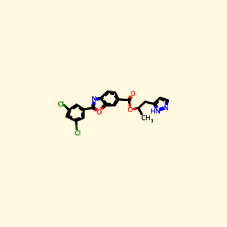 CC(Cc1ccn[nH]1)OC(=O)c1ccc2nc(-c3cc(Cl)cc(Cl)c3)oc2c1